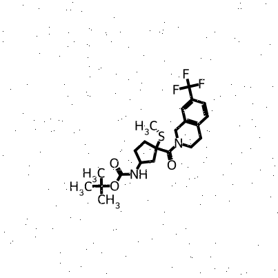 CSC1(C(=O)N2CCc3ccc(C(F)(F)F)cc3C2)CCC(NC(=O)OC(C)(C)C)C1